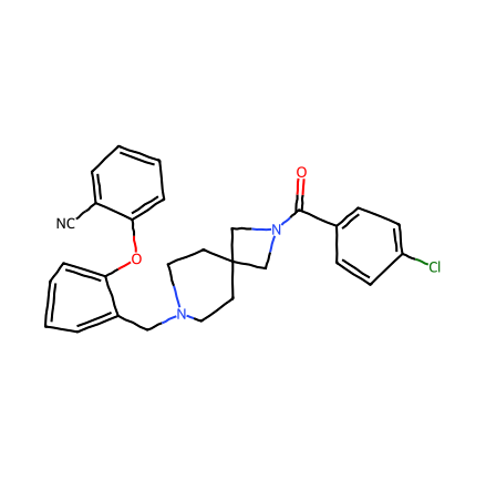 N#Cc1ccccc1Oc1ccccc1CN1CCC2(CC1)CN(C(=O)c1ccc(Cl)cc1)C2